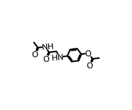 CC(=O)NC(=O)CNc1ccc(OC(C)=O)cc1